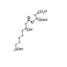 CCCCCCCCCCCCCCCC(O)CC(=O)OC(CCCCCC)CC(=O)O